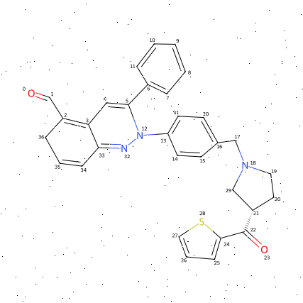 O=CC1=C2C=C(c3ccccc3)N(c3ccc(CN4CC[C@H](C(=O)c5cccs5)C4)cc3)N=C2C=CC1